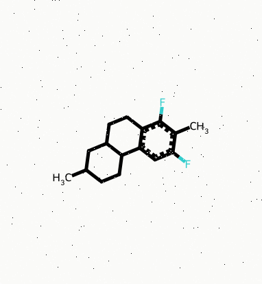 Cc1c(F)cc2c(c1F)CCC1CC(C)CCC21